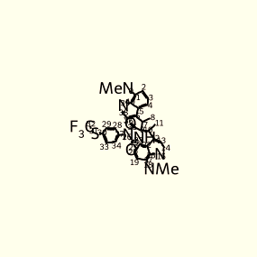 CNc1cccc2c(C(C)C3(C(C)c4ccnc5c(NC)cccc45)NC(=O)N(c4ccc(SC(F)(F)F)cc4)C3=O)ccnc12